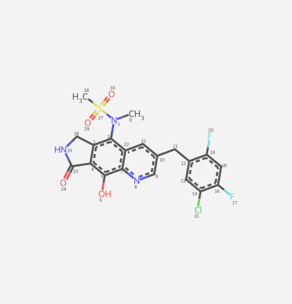 CN(c1c2c(c(O)c3ncc(Cc4cc(Cl)c(F)cc4F)cc13)C(=O)NC2)S(C)(=O)=O